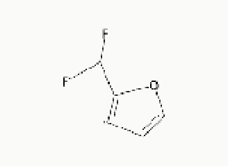 FC(F)c1[c]cco1